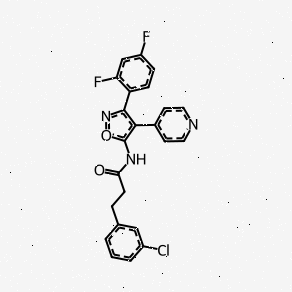 O=C(CCc1cccc(Cl)c1)Nc1onc(-c2ccc(F)cc2F)c1-c1ccncc1